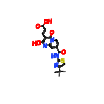 CC(C)(C)c1csc(NC(=O)c2ccn3c(=O)c(C=CC(=O)O)c(O)nc3c2)n1